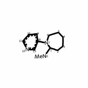 CNC1CCCCCN1c1cccnc1